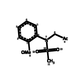 COc1ccccc1N(CC(C)=O)S(C)(=O)=O